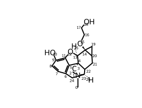 CN1CC[C@]23c4c5ccc(O)c4O[C@H]2[C@]2(OCCO)CC2CC3[C@H]1C5